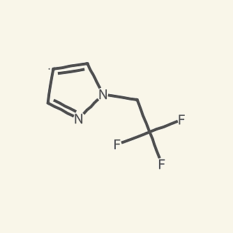 FC(F)(F)Cn1c[c]cn1